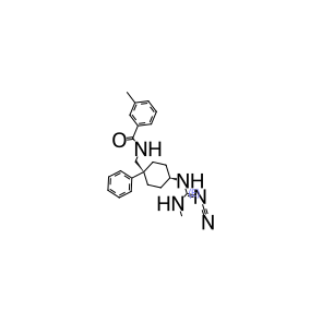 CN/C(=N\C#N)N[C@H]1CC[C@](CNC(=O)c2cccc(C)c2)(c2ccccc2)CC1